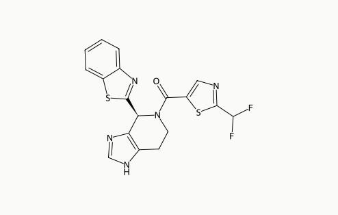 O=C(c1cnc(C(F)F)s1)N1CCc2[nH]cnc2[C@H]1c1nc2ccccc2s1